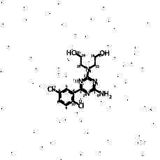 Nc1nc(-c2cc(Cl)ccc2Cl)nc(N(CCO)CCO)n1